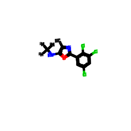 [2H]C([2H])([2H])Nc1oc(-c2cc(Cl)cc(Cl)c2Cl)nc1C#N